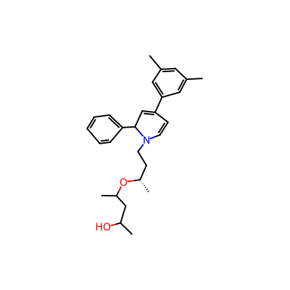 Cc1cc(C)cc(C2=CC(c3ccccc3)N(CC[C@H](C)OC(C)CC(C)O)C=C2)c1